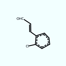 O=[C]/C=C/c1ccccc1Cl